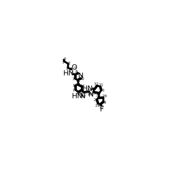 CCCCC(=O)Nc1cncc(-c2ccc3[nH]nc(-c4nc5c(-c6ccc(F)cc6)cccc5[nH]4)c3c2)c1